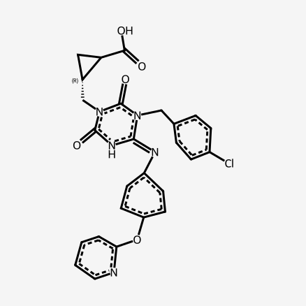 O=C(O)C1C[C@H]1Cn1c(=O)[nH]c(=Nc2ccc(Oc3ccccn3)cc2)n(Cc2ccc(Cl)cc2)c1=O